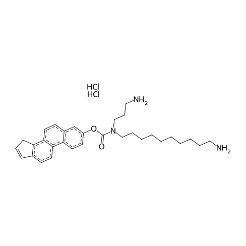 Cl.Cl.NCCCCCCCCCCN(CCCN)C(=O)Oc1ccc2c(ccc3c4c(ccc32)C=CC4)c1